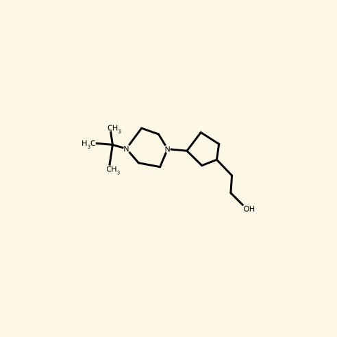 CC(C)(C)N1CCN(C2CCC(CCO)C2)CC1